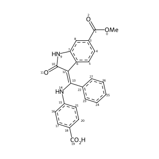 COC(=O)c1ccc2c(c1)NC(=O)/C2=C(\Nc1ccc(C(=O)O)cc1)c1ccccc1